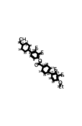 C=CC1CCC(c2ccc(OC(=O)c3ccc(-c4ccc(OCC)c(F)c4F)cc3)c(F)c2F)CC1